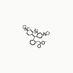 C[Si]1(C)C2=CC(=[N+]3CCC3)C=CC2=C(c2ccccc2CC(=O)[O-])c2ccc(N3CCC3)cc21